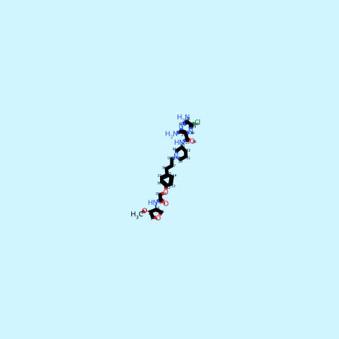 CO[C@H]1COC[C@@H]1NC(=O)COc1ccc(CCCN2CCC[C@H](NC(=O)c3nc(Cl)c(N)nc3N)C2)cc1